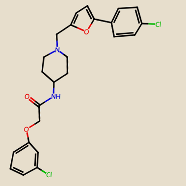 O=C(COc1cccc(Cl)c1)NC1CCN(Cc2ccc(-c3ccc(Cl)cc3)o2)CC1